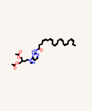 CC/C=C\C/C=C\C/C=C\C/C=C\C/C=C\C/C=C\CCC(=O)Nc1ncc2ncn(CCC(COC(C)=O)COC(C)=O)c2n1